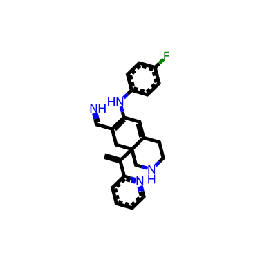 C=C(c1ccccn1)C12CNCCC1=CC(Nc1ccc(F)cc1)=C(C=N)C2